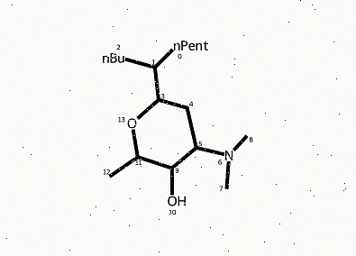 CCCCCC(CCCC)C1CC(N(C)C)C(O)C(C)O1